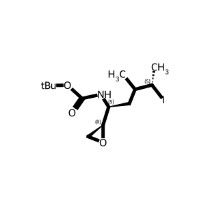 CC(C[C@H](NC(=O)OC(C)(C)C)[C@@H]1CO1)[C@H](C)I